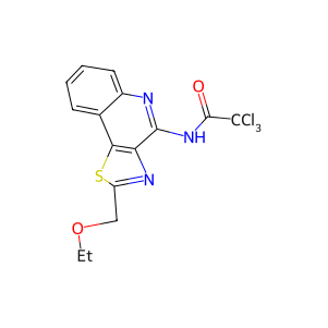 CCOCc1nc2c(NC(=O)C(Cl)(Cl)Cl)nc3ccccc3c2s1